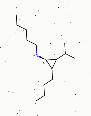 CCCCCN[C@@H]1C(CCCC)C1C(C)C